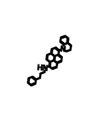 c1ccc(CCCNc2ccc3ccc4c(N5CCCc6ccccc65)ccc5ccc2c3c54)cc1